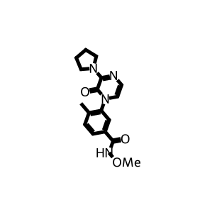 CONC(=O)c1ccc(C)c(-n2ccnc(N3CCCC3)c2=O)c1